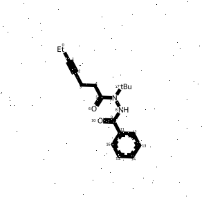 CCC#CCCC(=O)N(NC(=O)c1ccccc1)C(C)(C)C